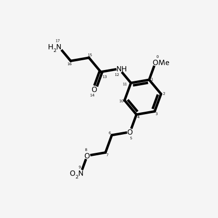 COc1ccc(OCCO[N+](=O)[O-])cc1NC(=O)CCN